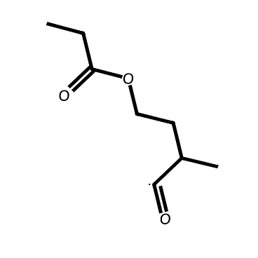 CCC(=O)OCCC(C)[C]=O